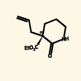 C=CC[C@@]1(C(=O)OCC)CCCNC1=O